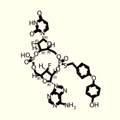 Nc1ncnc2c1ncn2[C@@H]1O[C@@H]2COP(=O)(O)O[C@H]3[C@@H](F)[C@H](n4ccc(=O)[nH]c4=O)O[C@@H]3COP(=O)(SCc3ccc(Oc4ccc(O)cc4)cc3)O[C@@H]1[C@@H]2F